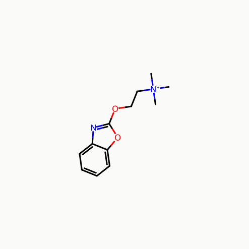 C[N+](C)(C)CCOc1nc2ccccc2o1